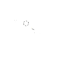 COc1ccc(SC=CC(C)OC(C)=O)cc1